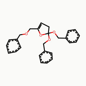 C1=C(COCc2ccccc2)OC(OCc2ccccc2)(OCc2ccccc2)C1